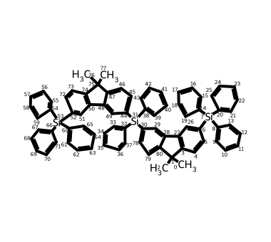 CC1(C)c2ccc([Si](c3ccccc3)(c3ccccc3)c3ccccc3)cc2-c2cc([Si](c3ccccc3)(c3ccccc3)c3ccc4c(c3)-c3cc([Si](c5ccccc5)(c5ccccc5)c5ccccc5)ccc3C4(C)C)ccc21